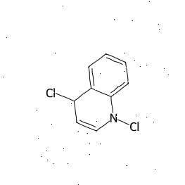 ClC1C=CN(Cl)c2ccccc21